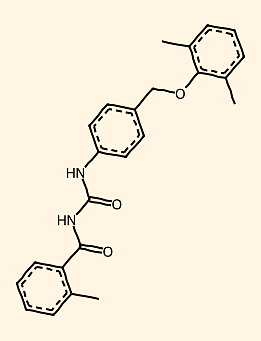 Cc1ccccc1C(=O)NC(=O)Nc1ccc(COc2c(C)cccc2C)cc1